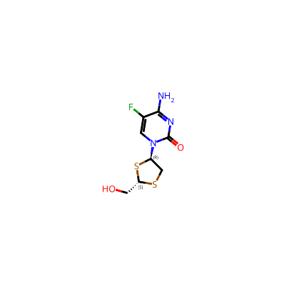 Nc1nc(=O)n([C@H]2CS[C@H](CO)S2)cc1F